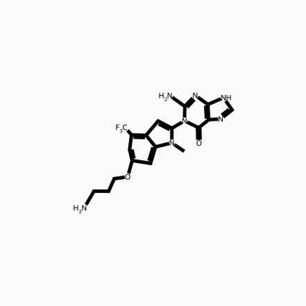 Cn1c(-n2c(N)nc3[nH]cnc3c2=O)cc2c(C(F)(F)F)cc(OCCCN)cc21